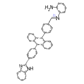 Nc1ccccc1/N=C/c1ccc(-c2c3ccccc3c(-c3ccc(-c4nc5ccccc5[nH]4)cc3)c3ccccc23)cc1